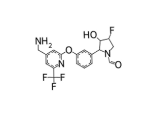 NCc1cc(Oc2cccc(C3C(O)C(F)CN3C=O)c2)nc(C(F)(F)F)c1